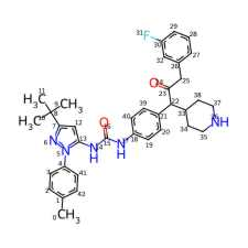 Cc1ccc(-n2nc(C(C)(C)C)cc2NC(=O)Nc2ccc(C(C(=O)Cc3cccc(F)c3)C3CCNCC3)cc2)cc1